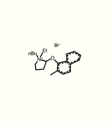 CCCC[N+]1(CC)CCCC1Oc1c(C)ccc2ccccc12.[Br-]